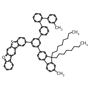 CCCCCCCCC1(CCCCCCCC)c2cc(C)ccc2-c2ccc(-c3cc(-c4cccc(-c5ccccc5-c5cccc(C)c5)c4)cc(-c4ccc5sc6cc7oc8ccccc8c7cc6c5c4)c3)cc21